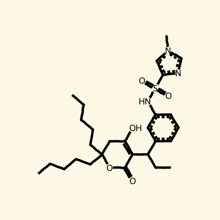 CCCCCC1(CCCCC)CC(O)=C(C(CC)c2cccc(NS(=O)(=O)c3cn(C)cn3)c2)C(=O)O1